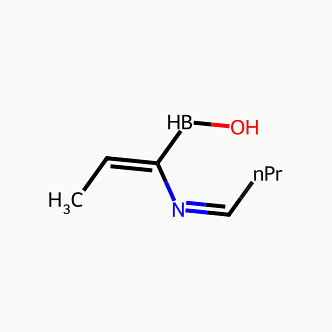 C/C=C(BO)\N=C/CCC